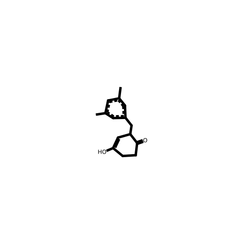 Cc1cc(C)cc(CC2C=C(O)CCC2=O)c1